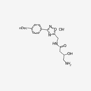 CCCCCCCCCCc1ccc(-c2noc(CNC(=O)CC(O)CN)n2)cc1.Cl